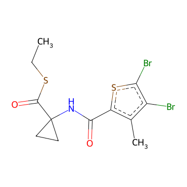 CCSC(=O)C1(NC(=O)c2sc(Br)c(Br)c2C)CC1